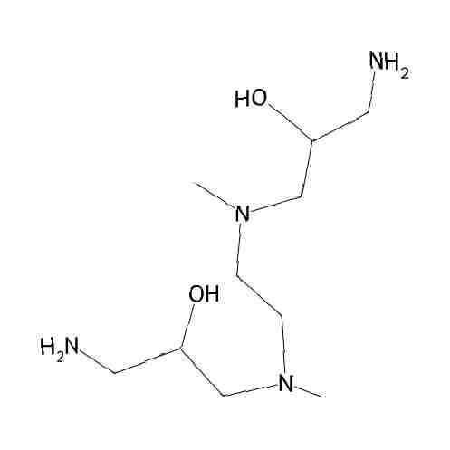 CN(CCN(C)CC(O)CN)CC(O)CN